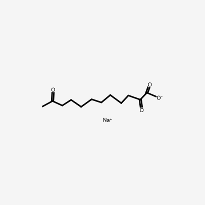 CC(=O)CCCCCCCCC(=O)C(=O)[O-].[Na+]